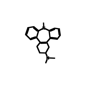 CN1c2ccccc2C2=C(CC(N(C)C)CC2)c2ccccc21